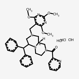 COc1nc(OC)c(CN2CC(C(c3ccccc3)c3ccccc3)N3CCN(C(=O)c4ccccn4)C[C@H]3C2)c(OC)n1.Cl.Cl.Cl